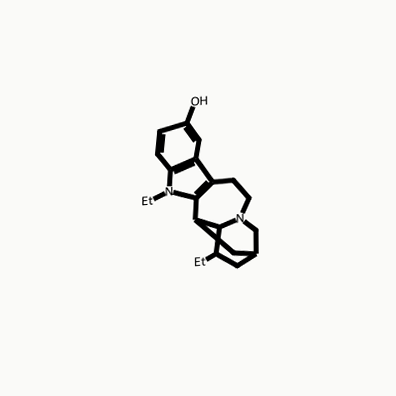 CCC1CC2CC3c4c(c5cc(O)ccc5n4CC)CCN(C2)C13